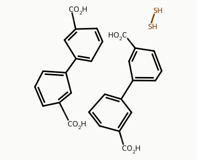 O=C(O)c1cccc(-c2cccc(C(=O)O)c2)c1.O=C(O)c1cccc(-c2cccc(C(=O)O)c2)c1.SS